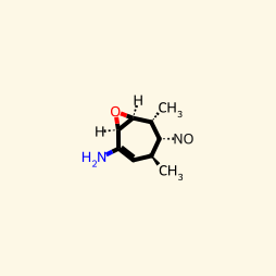 C[C@@H]1[C@H](N=O)[C@@H](C)C=C(N)[C@H]2O[C@@H]12